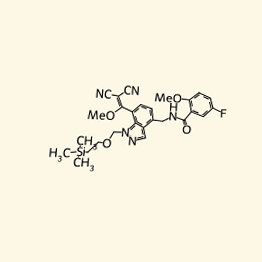 COC(=C(C#N)C#N)c1ccc(CNC(=O)c2cc(F)ccc2OC)c2cnn(COCC[Si](C)(C)C)c12